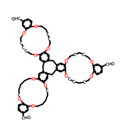 O=Cc1ccc2c(c1)OCCCCCOc1cc3c(cc1OCCCCCO2)Cc1cc2c(cc1Cc1cc4c(cc1C3)OCCCCCOc1ccc(C=O)cc1OCCCCCO4)OCCCCCOc1ccc(C=O)cc1OCCCCCO2